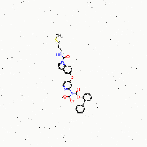 CSCCCNC(=O)n1ccc2cc(Oc3ccnc(N(C(=O)O)C(=O)Oc4ccccc4-c4ccccc4)c3)ccc21